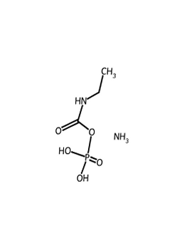 CCNC(=O)OP(=O)(O)O.N